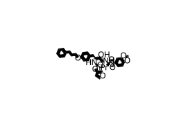 CC(C)C(NC[C@@H](O)[C@H](Cc1ccc(OCCCc2ccccc2)cc1)NC(=O)Oc1ccoc1)S(=O)(=O)c1ccc2c(c1)OCO2